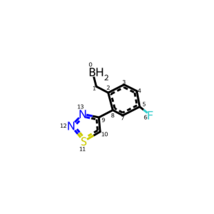 BCc1ccc(F)cc1-c1csnn1